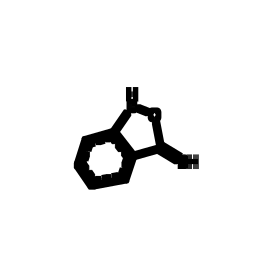 B=C1OBc2ccccc21